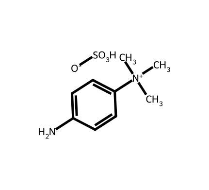 C[N+](C)(C)c1ccc(N)cc1.O=S(=O)([O-])O